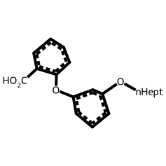 CCCCCCCOc1cccc(Oc2ccccc2C(=O)O)c1